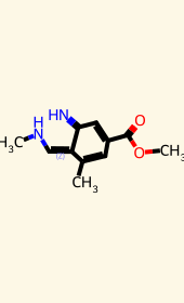 CN/C=C1\C(=N)C=C(C(=O)OC)C=C1C